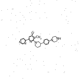 Cn1c(N2CCCC(c3ccc(N4CCNCC4)cc3)C2)nc(-c2ccncn2)cc1=O